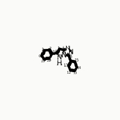 c1ccc(-c2cc3nnc(-c4ccccc4)n3[nH]2)cc1